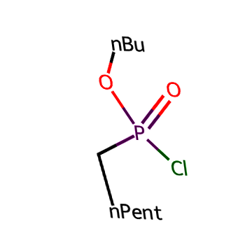 CCCCCCP(=O)(Cl)OCCCC